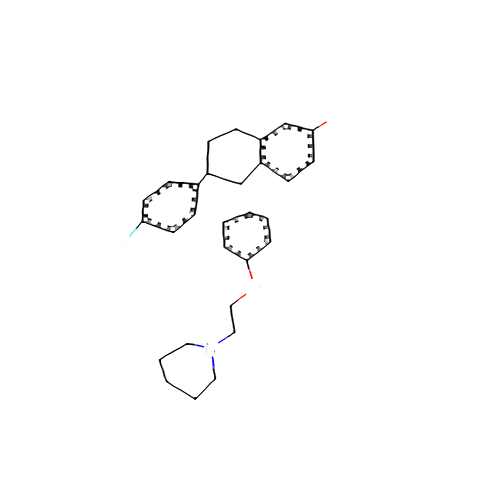 Oc1ccc2c(c1)CCC(c1ccc(F)cc1)[C@H]2c1ccc(OCCN2CCCCC2)cc1